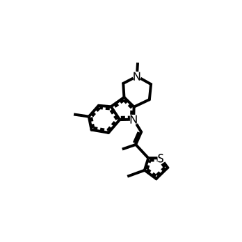 C/C(=C\n1c2c(c3cc(C)ccc31)CN(C)CC2)c1sccc1C